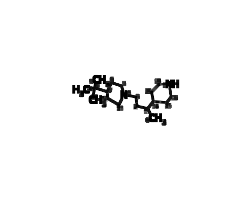 CC(CCN1CCC(C(C)(C)C)CC1)C1CCNCC1